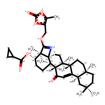 Cc1oc(=O)oc1COC1=N[C@@]23CC[C@]4(C)[C@H](C(=O)C=C5[C@@H]6C[C@@](C)(C(=O)O)CC[C@]6(C)CC[C@]54C)[C@@]2(C)CC[C@H](OC(=O)C2CC2)[C@@]13C